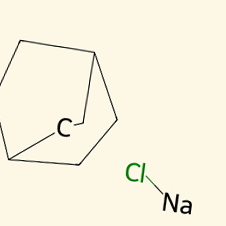 C1CC2CCC1CC2.[Na][Cl]